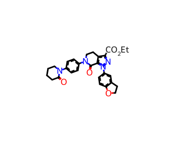 CCOC(=O)c1nn(-c2ccc3c(c2)CCO3)c2c1CCN(c1ccc(N3CCCCC3=O)cc1)C2=O